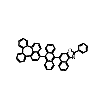 c1ccc(-c2nc3c(cc(-c4c5ccccc5c(-c5ccc6c7c(cccc57)-c5ccccc5-c5ccccc5-6)c5ccccc45)c4ccccc43)o2)cc1